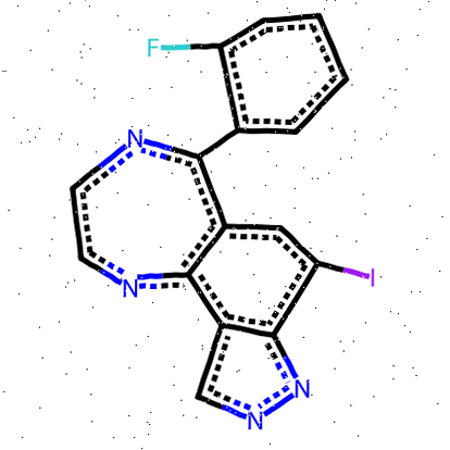 Fc1ccccc1-c1nccnc2c1cc(I)c1nncc12